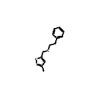 Cc1cc(COCCc2ccccc2)on1